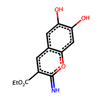 CCOC(=O)c1cc2cc(O)c(O)cc2oc1=N